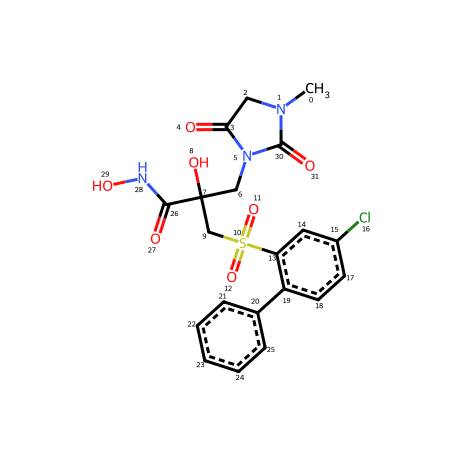 CN1CC(=O)N(CC(O)(CS(=O)(=O)c2cc(Cl)ccc2-c2ccccc2)C(=O)NO)C1=O